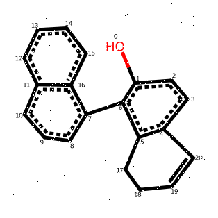 Oc1ccc2c(c1-c1cccc3ccccc13)CCC=C2